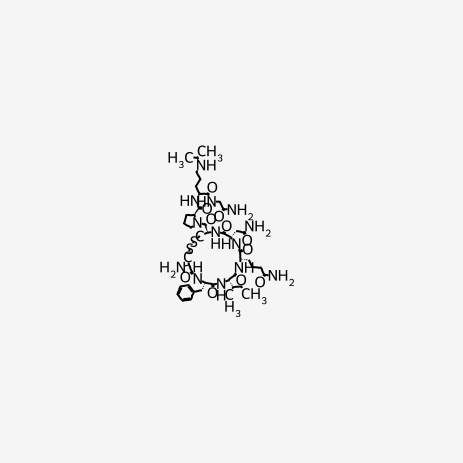 CCC(C)[C@@H]1NC(=O)[C@H](Cc2ccccc2)NC(=O)[C@@H](N)CSSC[C@@H](C(=O)N2CCC[C@H]2C(=O)NC(CCCNC(C)C)C(=O)NCC(N)=O)NC(=O)[C@H](CC(N)=O)NC(=O)[C@H](CCCC(N)=O)NC1=O